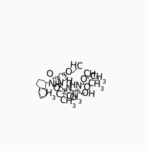 C#CCO[C@H]1C[C@@H](C(=O)NC2CCCc3ccccc32)N(C(=O)[C@@H](NC(=O)[C@H](CO)NC(=O)OC(C)(C)C)C(C)(C)C)C1